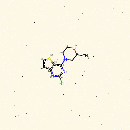 CC1CN(c2nc(Cl)nc3ccsc23)CCO1